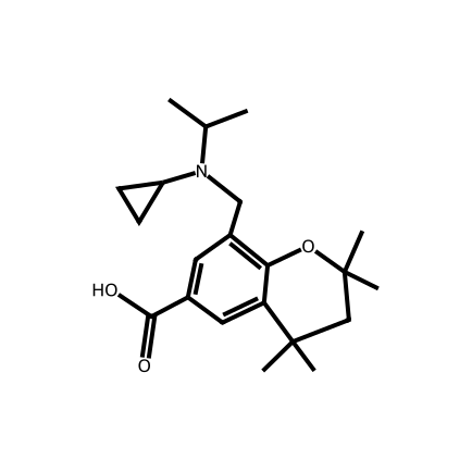 CC(C)N(Cc1cc(C(=O)O)cc2c1OC(C)(C)CC2(C)C)C1CC1